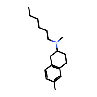 CCCCCCN(C)C1CCc2cc(C)ccc2C1